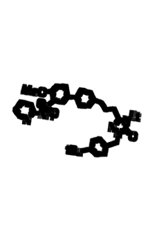 CCn1c(CCCc2ccc(-c3ccc(OC)c(S(=O)(=O)Nc4ccccn4)c3)cc2)nn(Cc2ccc(C(C)(C)C)cc2)c1=O